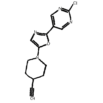 C#CC1CCN(c2cnc(-c3cnc(Cl)nc3)o2)CC1